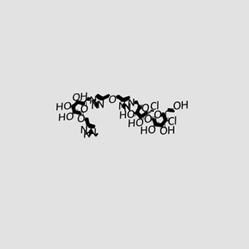 Cn1cc(CO[C@@H]2O[C@H](Cn3cc(COCc4cn(C[C@H]5O[C@@](CCl)(O[C@H]6O[C@H](CCO)[C@H](Cl)[C@H](O)[C@H]6O)[C@@H](O)[C@H]5O)nn4)nn3)[C@H](O)[C@H](O)[C@@H]2O)nn1